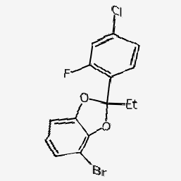 CCC1(c2ccc(Cl)cc2F)Oc2cccc(Br)c2O1